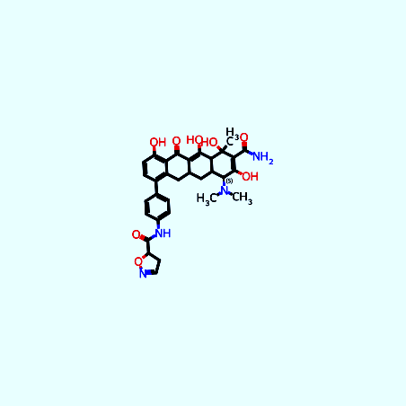 CN(C)[C@@H]1C(O)=C(C(N)=O)C(C)(O)C2C(O)=C3C(=O)c4c(O)ccc(-c5ccc(NC(=O)C6CC=NO6)cc5)c4CC3CC21